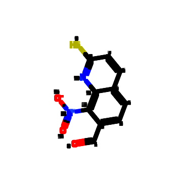 O=Cc1ccc2ccc(S)nc2c1[N+](=O)[O-]